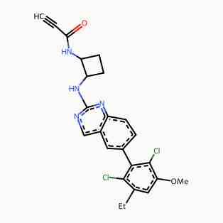 C#CC(=O)NC1CCC1Nc1ncc2cc(-c3c(Cl)c(CC)cc(OC)c3Cl)ccc2n1